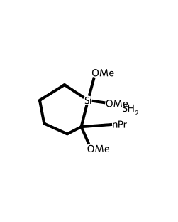 CCCC1(OC)CCCC[Si]1(OC)OC.S